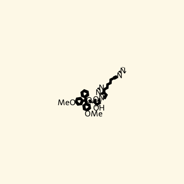 COc1ccc(C(OC[C@H]2O[C@H](n3ccc4c(CCCCC#CN=CN(C)C)ncnc43)C[C@@H]2O)(c2ccccc2)c2ccc(OC)cc2)cc1